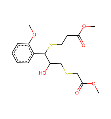 COC(=O)CCSC(c1ccccc1OC)C(O)CSCC(=O)OC